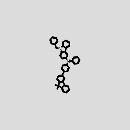 CC1(C)c2ccccc2-c2cc(-c3ccc(N(c4ccccc4)c4ccc5c(c4)c4ccccc4n5Cc4ccccc4)cc3)ccc21